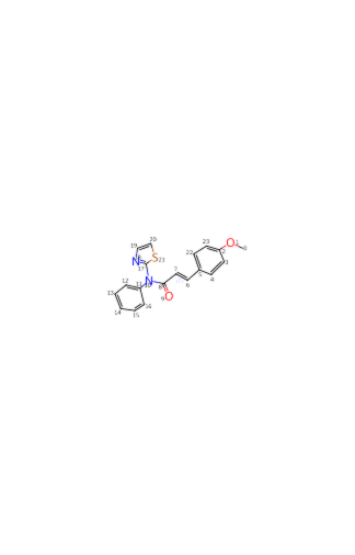 COc1ccc(/C=C/C(=O)N(c2ccccc2)c2nccs2)cc1